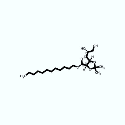 CCCCCCCCCCCCO[C@H]1O[C@H]([C@H](O)CO)[C@@H]2OC(C)(C)O[C@H]12